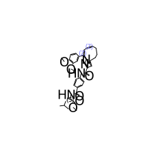 COC(=O)[C@H](CC(C)C)NC(=O)c1ccc(NC(=O)c2cc3n(n2)/C(c2ccc(OC)c(OC)c2)=C\C=C/CCC3)cc1